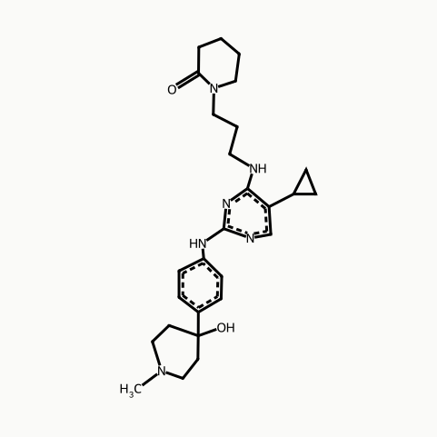 CN1CCC(O)(c2ccc(Nc3ncc(C4CC4)c(NCCCN4CCCCC4=O)n3)cc2)CC1